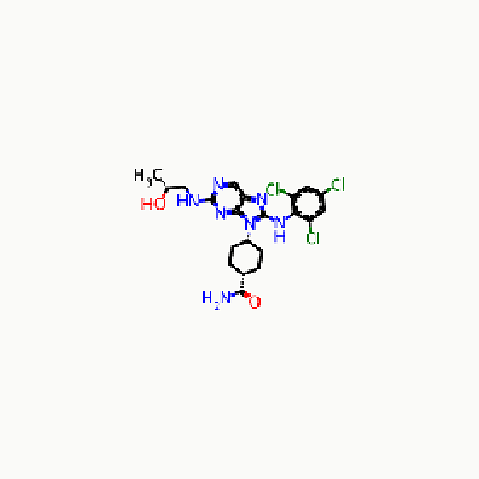 C[C@@H](O)CNc1ncc2nc(Nc3c(Cl)cc(Cl)cc3Cl)n([C@H]3CC[C@@H](C(N)=O)CC3)c2n1